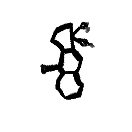 CC1(C)C=CC=C2C(=O)c3ccccc3C=C21